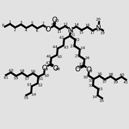 CCCCCCCCOC(=O)CCN(CCCCN(C)C)C(CCCCCC(=O)OCC(CCCC)CCCCCC)CCCCCC(=O)OCC(CCCC)CCCCCC